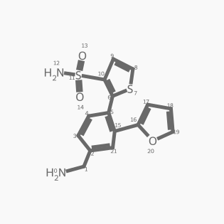 NCc1ccc(-c2sccc2S(N)(=O)=O)c(-c2ccco2)c1